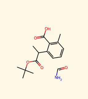 Cc1cccc(C(C)C(=O)OC(C)(C)C)c1C(=O)O.NC=O